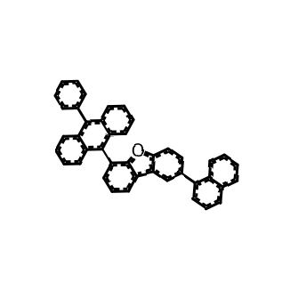 c1ccc(-c2c3ccccc3c(-c3cccc4c3oc3ccc(-c5cccc6ccccc56)cc34)c3ccccc23)cc1